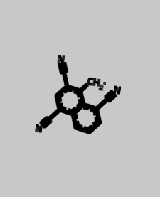 [CH2]c1c(C#N)cc(C#N)c2cccc(C#N)c12